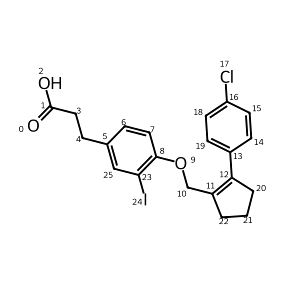 O=C(O)CCc1ccc(OCC2=C(c3ccc(Cl)cc3)CCC2)c(I)c1